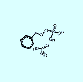 O=P(O)(O)OOCc1ccccc1.O=[PH](O)O